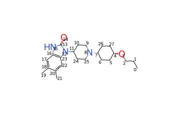 CCCO[C@H]1CC[C@H](N2CCC(n3c(=O)[nH]c4cc(C)c(C)cc43)CC2)CC1